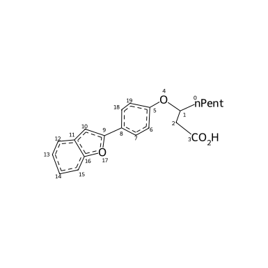 CCCCCC(CC(=O)O)Oc1ccc(-c2cc3ccccc3o2)cc1